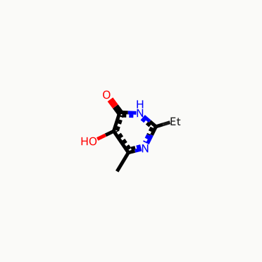 CCc1nc(C)c(O)c(=O)[nH]1